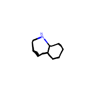 [CH]1CNC2CCCCC2C1